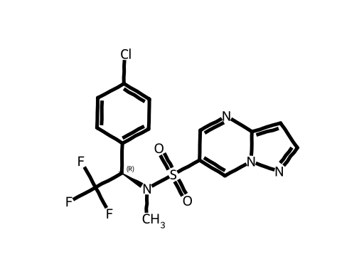 CN([C@H](c1ccc(Cl)cc1)C(F)(F)F)S(=O)(=O)c1cnc2ccnn2c1